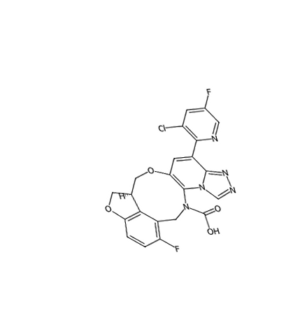 O=C(O)N1Cc2c(F)ccc3c2[C@@H](CO3)COc2cc(-c3ncc(F)cc3Cl)c3nncn3c21